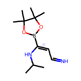 CC(C)N/C(=C\C=N)B1OC(C)(C)C(C)(C)O1